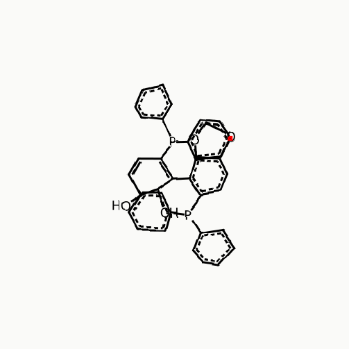 OC1C=CC(P(c2ccccc2)c2ccccc2)=C(c2c(P(c3ccccc3)c3ccccc3)ccc3c2OCO3)C1O